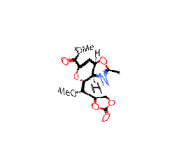 COC(=O)C1=C[C@H]2OC(C)=N[C@H]2[C@H]([C@H](OC)[C@H]2COC(=O)O2)O1